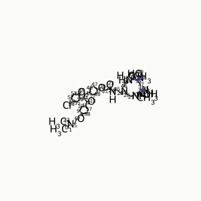 CCN(CC)CCOc1ccc(C(=O)c2c(-c3ccc(OCC(=O)NCCN4CCNC(C)(C)/C(=N\O)C/C(=N/O)C(C)(C)NCC4)cc3)oc3ccc(Cl)cc23)cc1